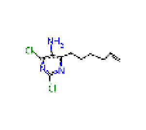 C=CCCCCc1nc(Cl)nc(Cl)c1N